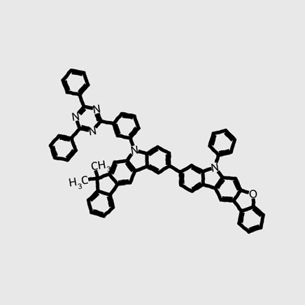 CC1(C)c2ccccc2-c2cc3c4cc(-c5ccc6c7cc8c(cc7n(-c7ccccc7)c6c5)oc5ccccc58)ccc4n(-c4cccc(-c5nc(-c6ccccc6)nc(-c6ccccc6)n5)c4)c3cc21